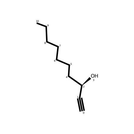 C#C[C@H](O)CCCCCCC